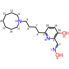 ON=Cc1nc(CCCCN2CCCCCCC2)ccc1O